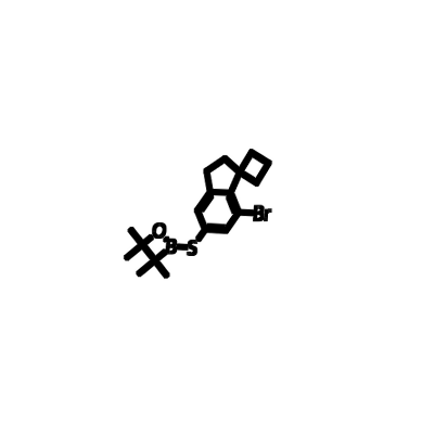 CC1(C)OB(Sc2cc(Br)c3c(c2)CCC32CCC2)C1(C)C